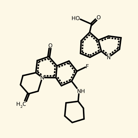 C=C1CCc2cc(=O)c3cc(F)c(NC4CCCCC4)cc3n2C1.O=C(O)c1cccc2ncccc12